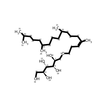 CC(=CCCOC[C@H](O)[C@H](O)[C@@H](O)[C@@H](O)CO)CCCC(C)CCCC(C)CCCC(C)C